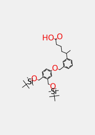 CC(CCCC(=O)O)c1cccc(COc2ccc(CO[Si](C)(C)C(C)(C)C)c(CO[Si](C)(C)C(C)(C)C)c2)c1